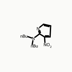 CCCCN(CCCC)c1ncccc1[N+](=O)[O-]